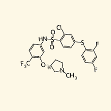 CN1CC[C@@H](Oc2cc(NS(=O)(=O)c3ccc(Sc4ccc(F)cc4F)cc3Cl)ccc2C(F)(F)F)C1